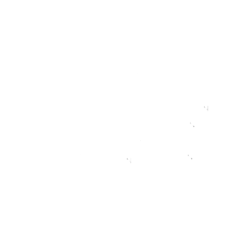 CC1=C(C(=O)N2CCCC2COc2ccc(F)cc2)C(c2ccc(Cl)c(Cl)c2)n2nccc2N1